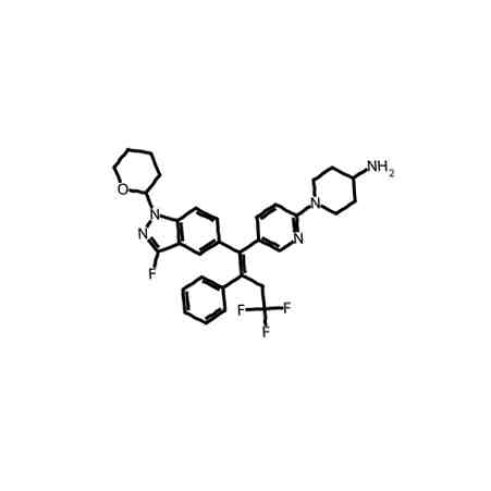 NC1CCN(c2ccc(C(=C(CC(F)(F)F)c3ccccc3)c3ccc4c(c3)c(F)nn4C3CCCCO3)cn2)CC1